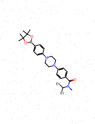 CCC(CC)N(C)C(=O)c1ccc(N2CCN(c3ccc(B4OC(C)(C)C(C)(C)O4)cc3)CC2)cc1